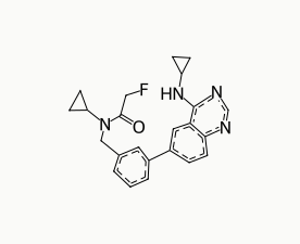 O=C(CF)N(Cc1cccc(-c2ccc3ncnc(NC4CC4)c3c2)c1)C1CC1